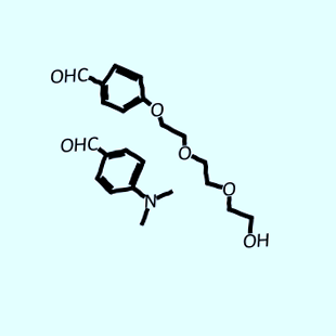 CN(C)c1ccc(C=O)cc1.O=Cc1ccc(OCCOCCOCCO)cc1